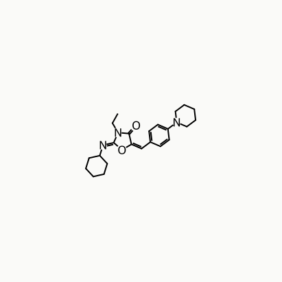 CCN1C(=O)/C(=C\c2ccc(N3CCCCC3)cc2)OC1=NC1CCCCC1